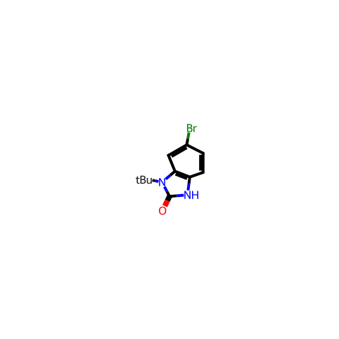 CC(C)(C)n1c(=O)[nH]c2ccc(Br)cc21